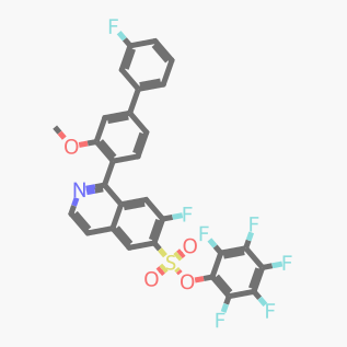 COc1cc(-c2cccc(F)c2)ccc1-c1nccc2cc(S(=O)(=O)Oc3c(F)c(F)c(F)c(F)c3F)c(F)cc12